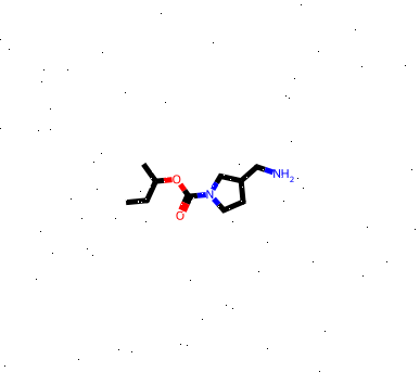 CCC(C)OC(=O)N1CCC(CN)C1